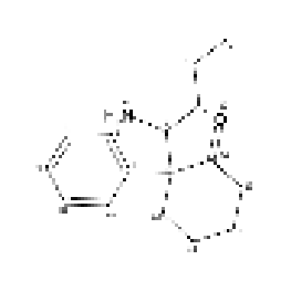 CCCC(N)C1(c2ccccc2)CCCCC1=O